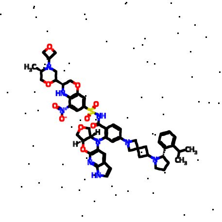 CC(C)c1ccccc1[C@@H]1CCCN1C1CC2(C1)CN(c1ccc(C(=O)NS(=O)(=O)c3cc4c(c([N+](=O)[O-])c3)N[C@@H](C3CN(C5COC5)[C@H](C)CO3)CO4)c(N3c4cc5cc[nH]c5nc4O[C@H]4COC[C@@H]43)c1)C2